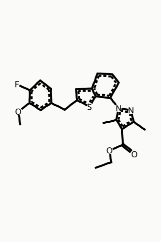 CCOC(=O)c1c(C)nn(-c2cccc3cc(Cc4ccc(F)c(OC)c4)sc23)c1C